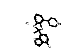 CC1(c2ccc(Cl)c3ccoc23)Oc2cccc(C3CCNCC3)c2O1.Cl